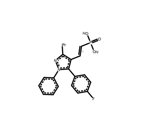 CC(C)c1nn(-c2ccccc2)c(-c2ccc(F)cc2)c1/C=C/P(=O)(O)O